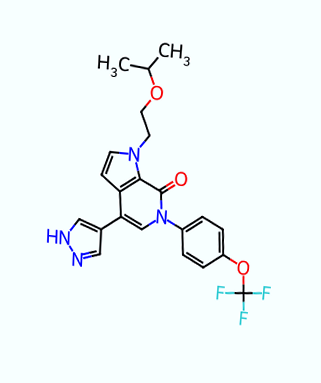 CC(C)OCCn1ccc2c(-c3cn[nH]c3)cn(-c3ccc(OC(F)(F)F)cc3)c(=O)c21